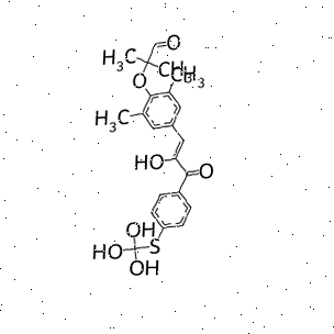 Cc1cc(/C=C(\O)C(=O)c2ccc(SC(O)(O)O)cc2)cc(C)c1OC(C)(C)C=O